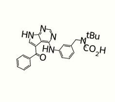 CC(C)(C)N(Cc1cccc(Nc2ncnc3[nH]cc(C(=O)c4ccccc4)c23)c1)C(=O)O